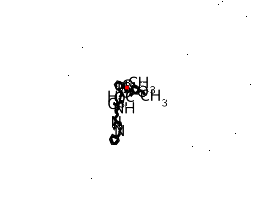 COc1cc(C)c(S(=O)(=O)N2CCCCC2COCC(=O)NCCCN2CCN(Cc3ccccc3)CC2)c(C)c1